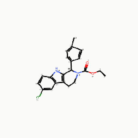 CCOC(=O)N1CCc2c([nH]c3ccc(Cl)cc23)C1c1ccc(C)cc1